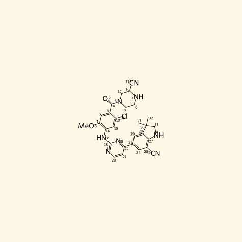 COc1cc(C(=O)N2CCNC(C#N)C2)c(Cl)cc1Nc1nccc(-c2cc(C#N)c3c(c2)C(C)(C)CN3)n1